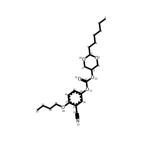 CCCCCCC1OCC(OC(=O)Oc2ccc(OCCCC)c(C#N)c2)CO1